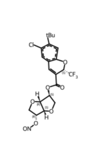 CC(C)(C)c1cc2c(cc1Cl)C=C(C(=O)O[C@H]1CO[C@H]3[C@@H]1OC[C@H]3ON=O)[C@@H](C(F)(F)F)O2